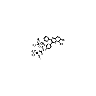 CC(C)(C)OC(=O)N(Cc1ccc(-c2nc3c(O)c(Br)ccc3nc2-c2ccccc2)cc1)C(=O)OC(C)(C)C